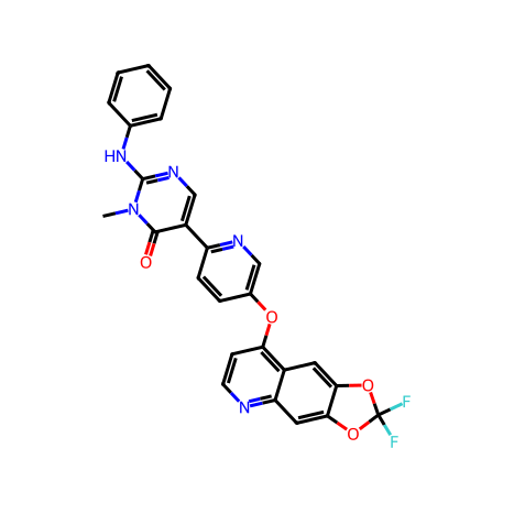 Cn1c(Nc2ccccc2)ncc(-c2ccc(Oc3ccnc4cc5c(cc34)OC(F)(F)O5)cn2)c1=O